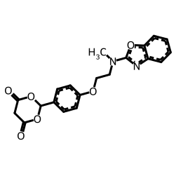 CN(CCOc1ccc(C2OC(=O)CC(=O)O2)cc1)c1nc2ccccc2o1